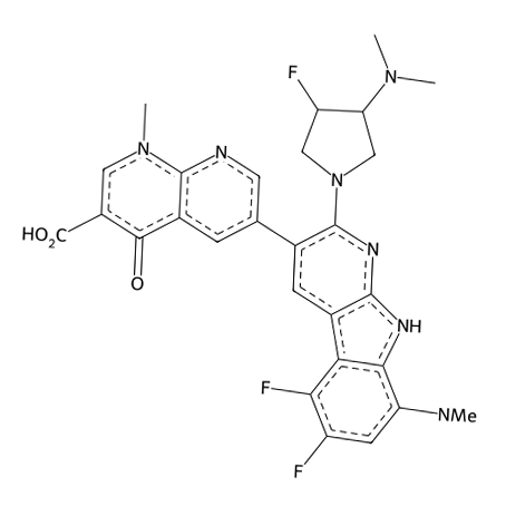 CNc1cc(F)c(F)c2c1[nH]c1nc(N3CC(F)C(N(C)C)C3)c(-c3cnc4c(c3)c(=O)c(C(=O)O)cn4C)cc12